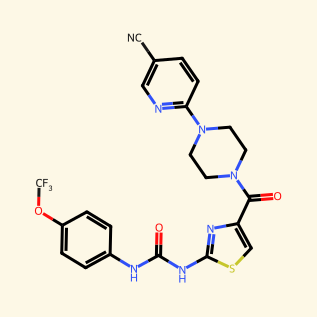 N#Cc1ccc(N2CCN(C(=O)c3csc(NC(=O)Nc4ccc(OC(F)(F)F)cc4)n3)CC2)nc1